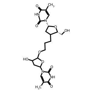 Cc1cn(C2CC(O)C(OCCCC3C[C@H](n4cc(C)c(=O)[nH]c4=O)O[C@@H]3CO)O2)c(=O)[nH]c1=O